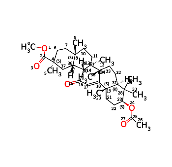 COC(=O)[C@@]1(C)CC[C@]2(C)CC[C@]3(C)[C@H](C(=O)C=C4[C@@]5(C)CC[C@H](OC(C)=O)C(C)(C)[C@@H]5CC[C@]43C)[C@@H]2C1